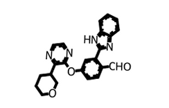 O=Cc1ccc(Oc2nccnc2C2CCCOC2)cc1-c1nc2ccccc2[nH]1